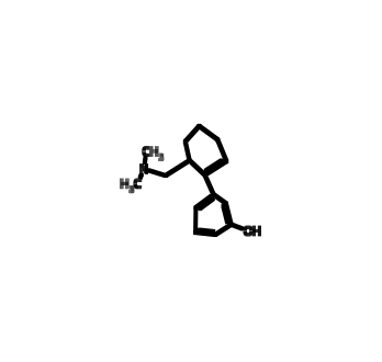 CN(C)CC1CCCC=C1c1cccc(O)c1